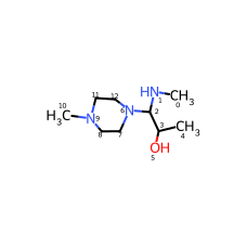 CNC(C(C)O)N1CCN(C)CC1